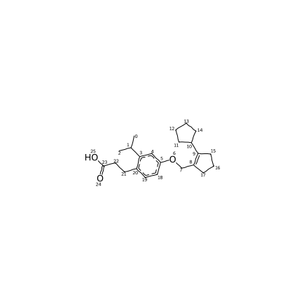 CC(C)c1cc(OCC2=C(C3CCCC3)CCC2)ccc1CCC(=O)O